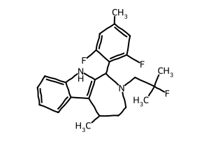 Cc1cc(F)c(C2c3[nH]c4ccccc4c3C(C)CCN2CC(C)(C)F)c(F)c1